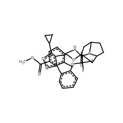 COC(=O)c1ccc(NC(=O)N2C3CCC2CC(OCc2c(-c4ccccc4OC(F)(F)F)noc2C2CC2)C3)c(F)c1